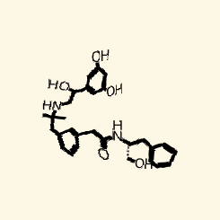 CC(C)(Cc1cccc(CC(=O)N[C@@H](CO)Cc2ccccc2)c1)NCC(O)c1cc(O)cc(O)c1